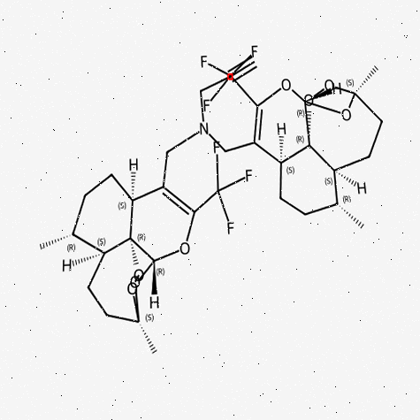 C#CCN(CC1=C(C(F)(F)F)O[C@@H]2O[C@]3(C)CC[C@H]4[C@H](C)CC[C@@H]1[C@@]24OO3)CC1=C(C(F)(F)F)O[C@@H]2O[C@]3(C)CC[C@H]4[C@H](C)CC[C@@H]1[C@@]24OO3